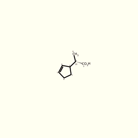 C[C@H](C(=O)O)C1C=CCC1